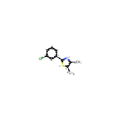 [CH2]c1nc(-c2cccc(Cl)c2)sc1C